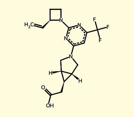 C=C[C@H]1CCN1c1nc(N2C[C@@H]3[C@@H](CC(=O)O)[C@@H]3C2)cc(C(F)(F)F)n1